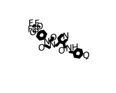 COc1ccc(CNC(=O)c2cnccc2CN2CC(=O)N(c3ccc(S(=O)(=O)C(F)(F)F)cc3)C2=O)cc1